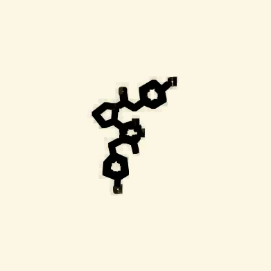 Cc1nnc(C2CCCN2C(=O)Cc2ccc(Cl)cc2)n1Cc1ccc(Cl)cc1